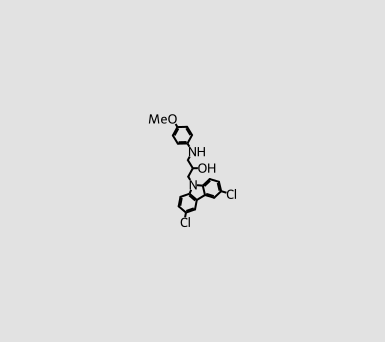 COc1ccc(NCC(O)Cn2c3ccc(Cl)cc3c3cc(Cl)ccc32)cc1